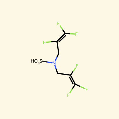 O=S(=O)(O)N(CC(F)=C(F)F)CC(F)=C(F)F